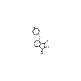 O=C1NC(=O)c2c(Cc3ccncc3)cccc21